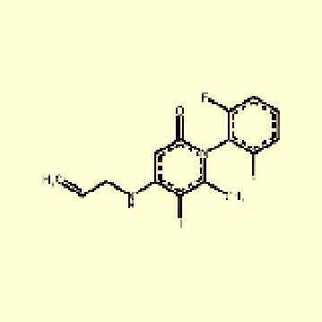 C=CCNc1cc(=O)n(-c2c(F)cccc2F)c(C)c1I